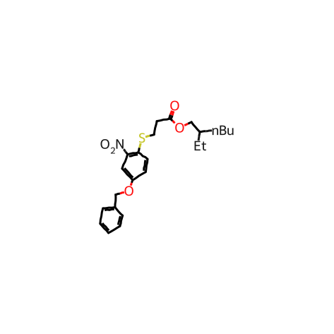 CCCCC(CC)COC(=O)CCSc1ccc(OCc2ccccc2)cc1[N+](=O)[O-]